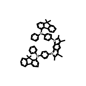 Cc1c(C)n(-c2ccc(N(c3ccccc3)c3cccc4c3-c3ccccc3C4(C)C)cc2)c2cc3c(cc12)c(C)c(C)n3-c1ccc(N(c2ccccc2)c2cccc3c2C(C)(C)c2ccccc2-3)cc1